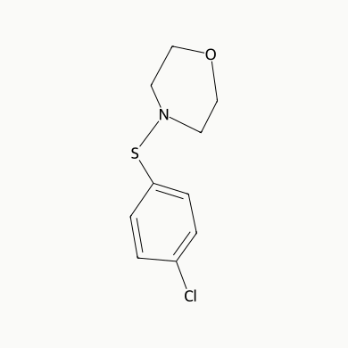 Clc1ccc(SN2CCOCC2)cc1